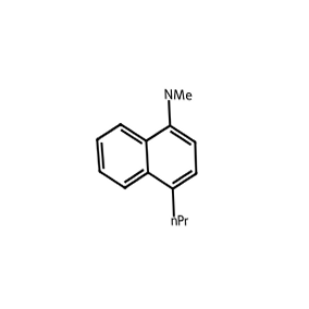 CCCc1ccc(NC)c2ccccc12